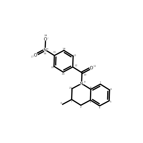 CC1Cc2ccccc2N(C(=O)c2ccc([N+](=O)[O-])cc2)C1